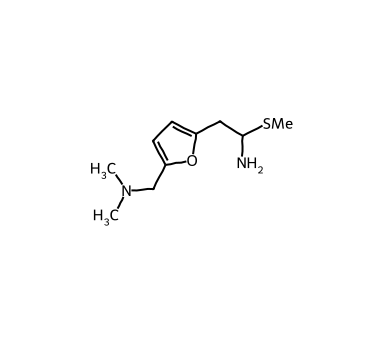 CSC(N)Cc1ccc(CN(C)C)o1